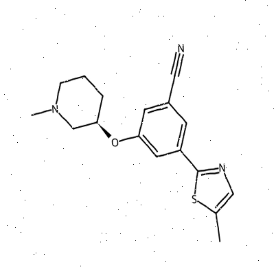 Cc1cnc(-c2cc(C#N)cc(O[C@@H]3CCCN(C)C3)c2)s1